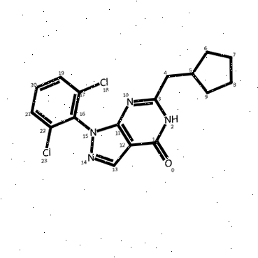 O=c1[nH]c(CC2CCCC2)nc2c1cnn2-c1c(Cl)cccc1Cl